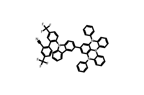 N#Cc1cc(C(F)(F)F)ccc1-c1cc(C(F)(F)F)ccc1-n1c2ccccc2c2cc(-c3cc4c5c(c3)N(c3ccccc3)c3ccccc3B5c3ccccc3N4c3ccccc3)ccc21